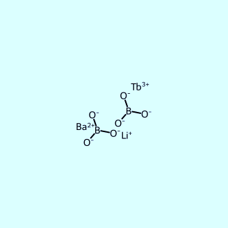 [Ba+2].[Li+].[O-]B([O-])[O-].[O-]B([O-])[O-].[Tb+3]